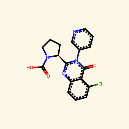 O=C(O)N1CCC[C@H]1c1nc2cccc(Cl)c2c(=O)n1-c1cccnc1